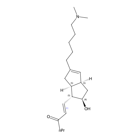 CCCC(=O)/C=C/[C@@H]1[C@H]2CC(CCCCCN(C)C)=C[C@H]2C[C@H]1O